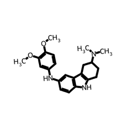 COc1ccc(Nc2ccc3[nH]c4c(c3c2)CC(N(C)C)CC4)cc1OC